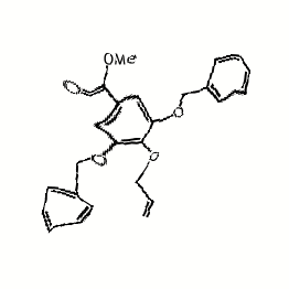 C=CCOc1c(OCc2ccccc2)cc(C(=O)OC)cc1OCc1ccccc1